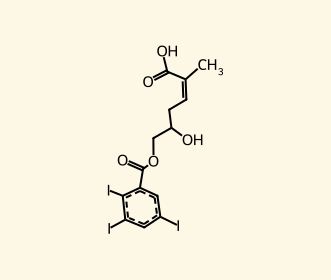 CC(=CCC(O)COC(=O)c1cc(I)cc(I)c1I)C(=O)O